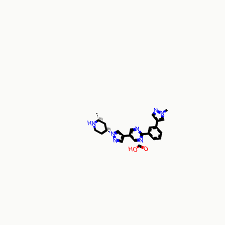 C[C@@H]1C[C@H](n2cc(-c3cnc(-c4cccc(-c5cnn(C)c5)c4)nc3)cn2)CCN1.O=CO